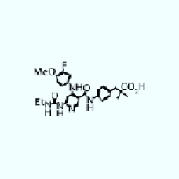 CCNC(=O)Nc1cc(Nc2ccc(OC)c(F)c2)c(C(=O)Nc2ccc(CC(C)(C)C(=O)O)cc2)cn1